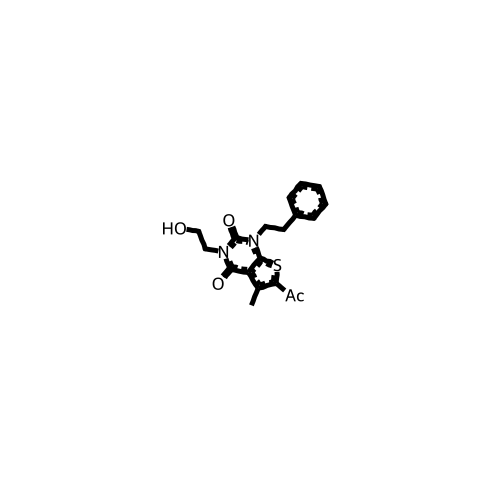 CC(=O)c1sc2c(c1C)c(=O)n(CCO)c(=O)n2CCc1ccccc1